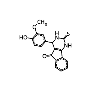 COc1cc(C2NC(=S)NC3=C2C(=O)c2ccccc23)ccc1O